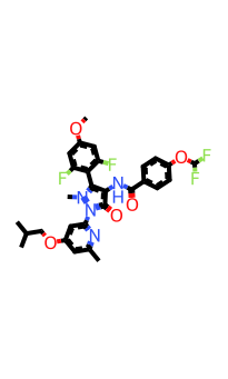 COc1cc(F)c(-c2c(NC(=O)c3ccc(OC(F)F)cc3)c(=O)n(-c3cc(OCC(C)C)cc(C)n3)n2C)c(F)c1